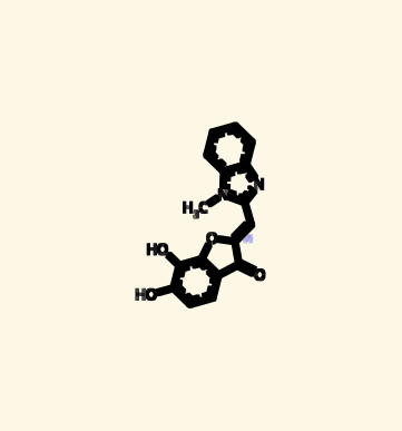 Cn1c(/C=C2\Oc3c(ccc(O)c3O)C2=O)nc2ccccc21